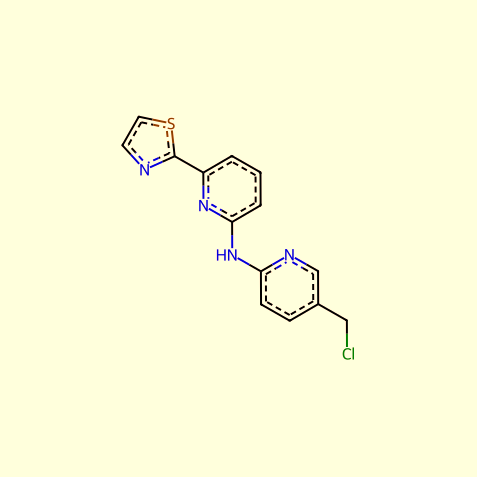 ClCc1ccc(Nc2cccc(-c3nccs3)n2)nc1